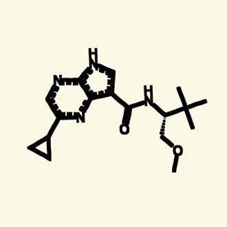 COC[C@H](NC(=O)c1c[nH]c2ncc(C3CC3)nc12)C(C)(C)C